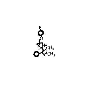 CCN(CC1(COc2ccc(F)cc2)CC1)C(=O)C1=C(c2ccccc2)SC(C)N1